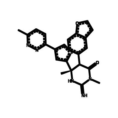 Cc1ccc(-c2csc([C@@]3(C)NC(=N)N(C)C(=O)C3c3ccc4occc4c3)c2)nn1